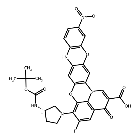 CC(C)(C)OC(=O)N[C@H]1CCN(c2c(F)cc3c(=O)c(C(=O)O)cn4c5cc6oc7cc([N+](=O)[O-])ccc7[nH]c6cc5oc2c34)C1